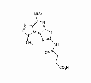 CNc1nc2sc(NC(=O)CCC(=O)O)nc2c2c1ncn2C